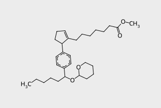 CCCCCC(OC1CCCCO1)c1ccc(C2CCC=C2CCCCCCC(=O)OC)cc1